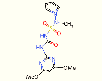 COc1cc(OC)nc(NC(=O)NS(=O)(=O)N(C)n2cccc2)n1